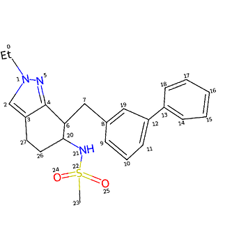 CCn1cc2c(n1)C(Cc1cccc(-c3ccccc3)c1)C(NS(C)(=O)=O)CC2